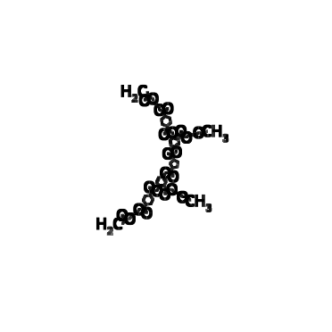 C=CC(=O)OCCOC(=O)C1CCC(C(=O)Oc2ccc(OC(=O)C3CCC(C(=O)Oc4ccc(OC(=O)C5CCC(C(=O)OCCOC(=O)C=C)CC5)c(C(=O)OCCOCC)c4)C3)cc2C(=O)OCCOCC)CC1